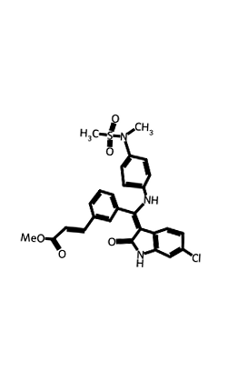 COC(=O)C=Cc1cccc(C(Nc2ccc(N(C)S(C)(=O)=O)cc2)=C2C(=O)Nc3cc(Cl)ccc32)c1